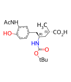 CC(=O)Nc1cc(C[C@@H](C[C@H](C)C(=O)O)NC(=O)OC(C)(C)C)ccc1O